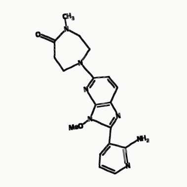 COn1c(-c2cccnc2N)nc2ccc(N3CCC(=O)N(C)CC3)nc21